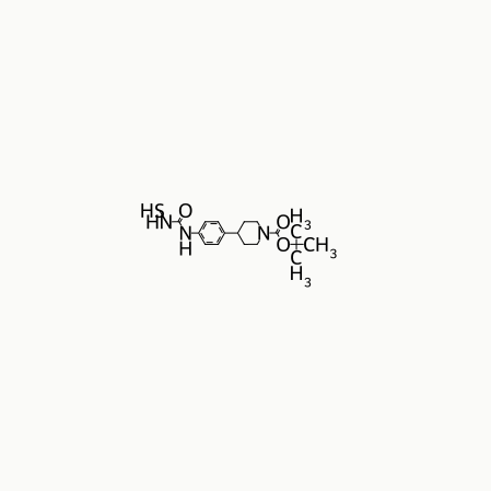 CC(C)(C)OC(=O)N1CCC(c2ccc(NC(=O)NS)cc2)CC1